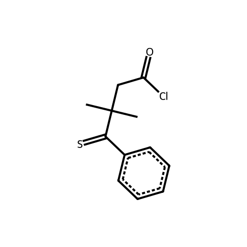 CC(C)(CC(=O)Cl)C(=S)c1ccccc1